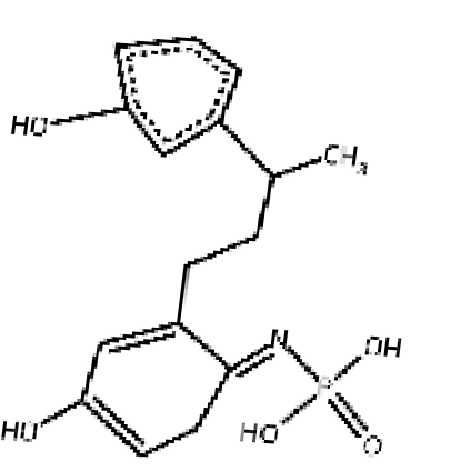 CC(CCC1=CC(O)=CCC1=NP(=O)(O)O)c1cccc(O)c1